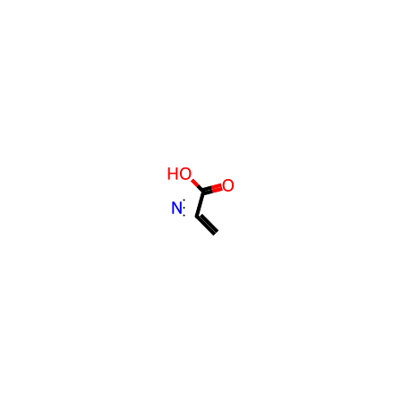 C=CC(=O)O.[N]